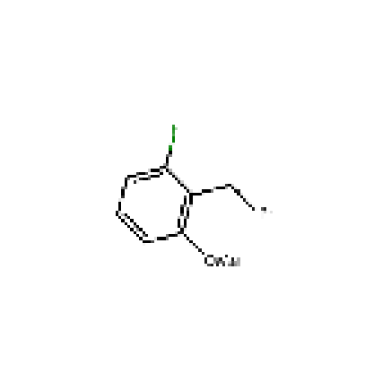 COc1cccc(F)c1CC(C)C